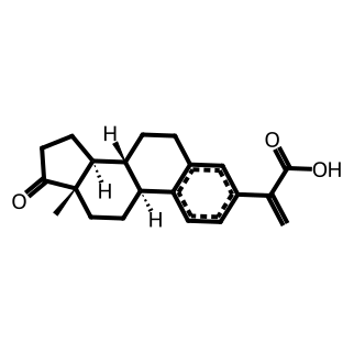 C=C(C(=O)O)c1ccc2c(c1)CC[C@@H]1[C@@H]2CC[C@]2(C)C(=O)CC[C@@H]12